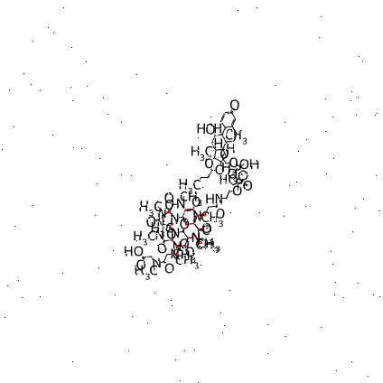 CCC[C@@H]1O[C@@H]2C[C@H]3[C@@H]4CCC5=CC(=O)C=C[C@]5(C)[C@H]4[C@@H](O)C[C@]3(C)[C@]2(C(=O)COP(=O)(O)OP(=O)(O)OCCNC(=O)CCc2ccc(N3C(=O)C=CC3=O)cc2C(=O)N(C)CC(=O)N(C)CC(=O)N(C)CC(=O)N(C)CC(=O)N(C)CC(=O)N(C)CC(=O)N(C)CC(=O)N(C)CC(=O)N(C)CC(=O)N(C)CC(=O)O)O1